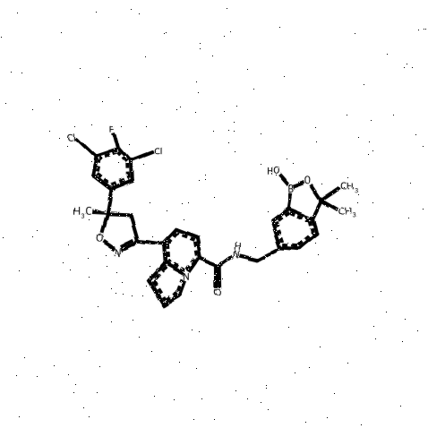 CC1(C)OB(O)c2cc(CNC(=O)c3ccc(C4=NO[C@](C)(c5cc(Cl)c(F)c(Cl)c5)C4)c4cccn34)ccc21